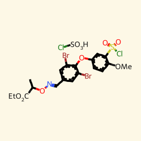 CCOC(=O)C(C)ON=Cc1cc(Br)c(Oc2ccc(OC)c(S(=O)(=O)Cl)c2)c(Br)c1.O=S(=O)(O)Cl